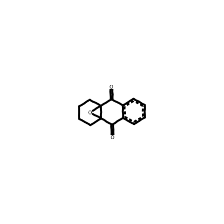 O=C1c2ccccc2C(=O)C23CCCCC12O3